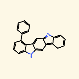 C1=CCC2=c3cc4[nH]c5cccc(-c6ccccc6)c5c4cc3=NC2=C1